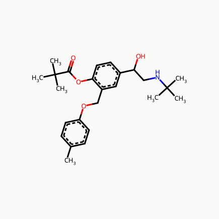 Cc1ccc(OCc2cc(C(O)CNC(C)(C)C)ccc2OC(=O)C(C)(C)C)cc1